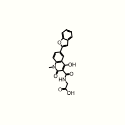 Cn1c(=O)c(C(=O)NCC(=O)O)c(O)c2cc(-c3cc4ccccc4o3)ccc21